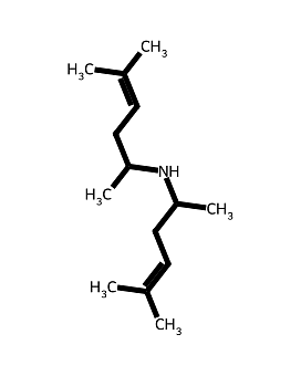 CC(C)=CCC(C)NC(C)CC=C(C)C